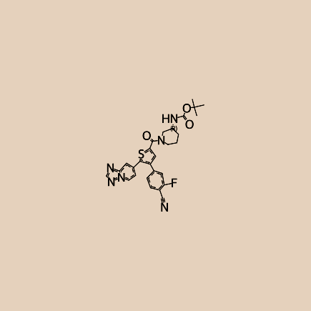 CC(C)(C)OC(=O)N[C@@H]1CCCN(C(=O)c2cc(-c3ccc(C#N)c(F)c3)c(-c3ccn4ncnc4c3)s2)C1